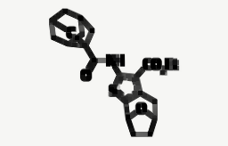 CCOC(=O)c1c(NC(=O)C23CC4CC(CC2C4)C3)sc2c1CC1CCC2O1